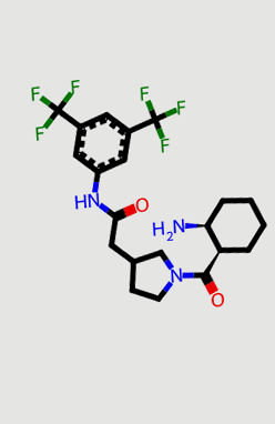 N[C@H]1CCCC[C@H]1C(=O)N1CCC(CC(=O)Nc2cc(C(F)(F)F)cc(C(F)(F)F)c2)C1